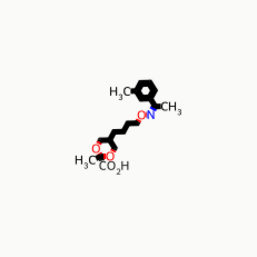 CC(=NOCCCCC1COC(C)(C(=O)O)OC1)c1cccc(C)c1